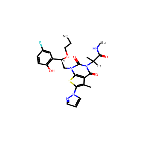 CCC(C)NC(=O)C(C)(CC)n1c(=O)c2c(C)c(-n3cccn3)sc2n(C[C@H](OCCC#N)c2cc(F)ccc2O)c1=O